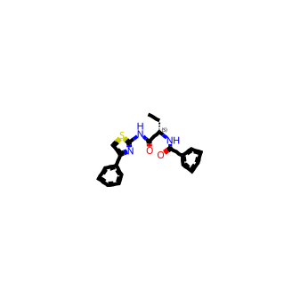 CC[C@H](NC(=O)c1ccccc1)C(=O)Nc1nc(-c2ccccc2)cs1